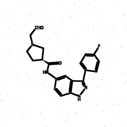 O=CCN1CC[C@@H](C(=O)Nc2ccc3[nH]nc(-c4ccc(F)cc4)c3c2)C1